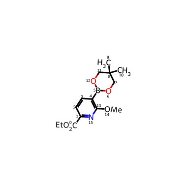 CCOC(=O)c1ccc(B2OCC(C)(C)CO2)c(OC)n1